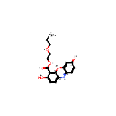 COCCOCCOC(=O)c1c(O)ccc2nc3ccc(=O)cc-3oc12